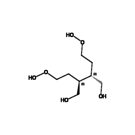 OC[C@@H](CCOO)[C@@H](CO)CCOO